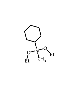 CCO[Si](C)(OCC)C1CCCCC1